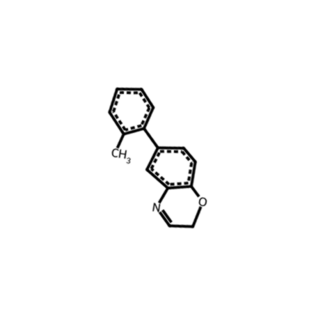 Cc1ccccc1-c1ccc2c(c1)N=CCO2